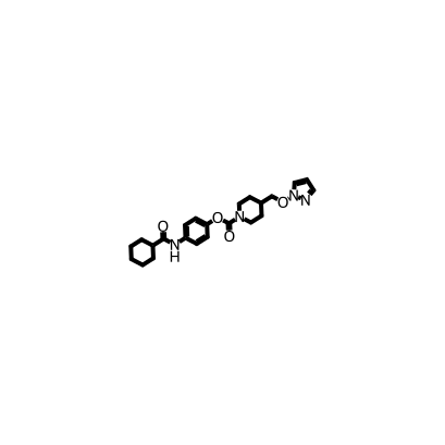 O=C(Nc1ccc(OC(=O)N2CCC(COn3cccn3)CC2)cc1)C1CCCCC1